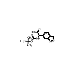 CC(C)(C)OC(=O)NC(C(=O)O)c1ccc2csnc2c1